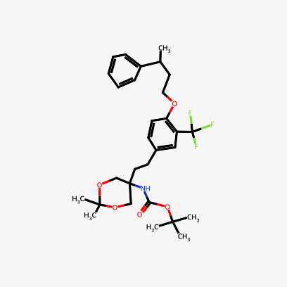 CC(CCOc1ccc(CCC2(NC(=O)OC(C)(C)C)COC(C)(C)OC2)cc1C(F)(F)F)c1ccccc1